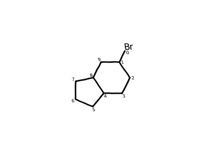 BrC1CCC2CCCC2C1